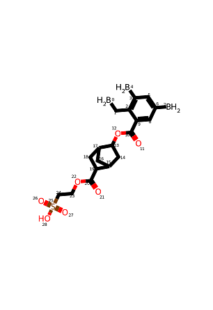 BCc1c(B)cc(B)cc1C(=O)OC1CC2CC1CC2C(=O)OCCS(=O)(=O)O